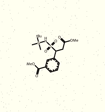 COC(=O)CC(c1cccc(C(=O)OC)c1)S(=O)(=O)N[Si](C)(C)C(C)(C)C